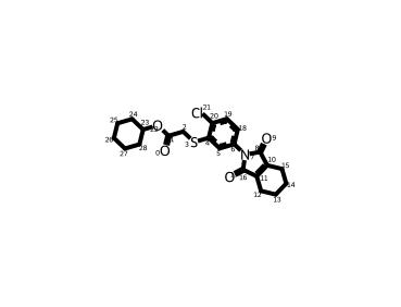 O=C(CSc1cc(N2C(=O)C3=C(CCCC3)C2=O)ccc1Cl)OC1CCCCC1